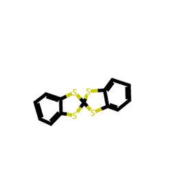 c1ccc2c(c1)SC1(S2)Sc2ccccc2S1